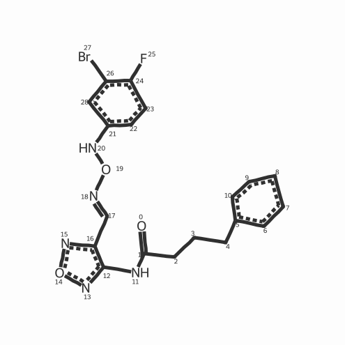 O=C(CCCc1ccccc1)Nc1nonc1/C=N/ONc1ccc(F)c(Br)c1